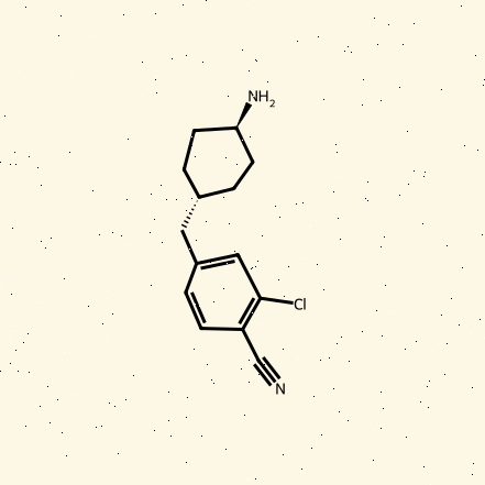 N#Cc1ccc(C[C@H]2CC[C@H](N)CC2)cc1Cl